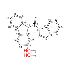 CO.CO.[CH2]=[Ti]([CH]1C=Cc2ccccc21)[CH]1c2ccccc2-c2ccccc21